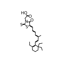 CCC1=C(C=CC(C)=CC=CC=C2SC(=S)N(CC(=O)O)C2=O)C(CC)(CC)CCC1